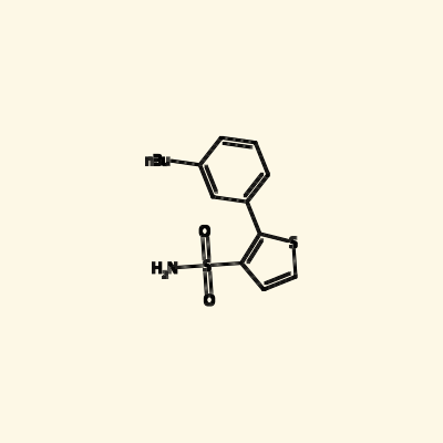 CCCCc1cccc(-c2sccc2S(N)(=O)=O)c1